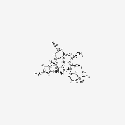 COC(=O)C1=C(C)N(c2cccc(C(F)(F)F)c2)c2n[nH]c(=O)n2C1c1ccc(C#N)cc1CC[n+]1ccn(C)c1